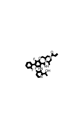 C=CC(=O)N1CC(C)N2C(=N)c3c(Nc4c(C)ccnc4C(C)O)c(F)c(-c4ccccc4F)c(F)c3OCC2C1